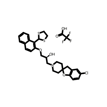 O=C(O)C(F)(F)F.O[C@H](COc1ccc2ccccc2c1C1SCCS1)CN1CCC2(CC1)Cc1cc(Cl)ccc1O2